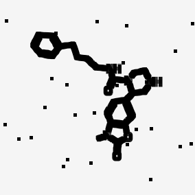 Cn1c(=O)oc2cc(C3CNCCN3C(=O)NCCCCc3ccccc3)ccc21